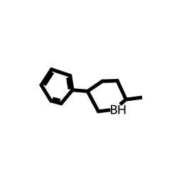 CC1BCC(c2ccccc2)CC1